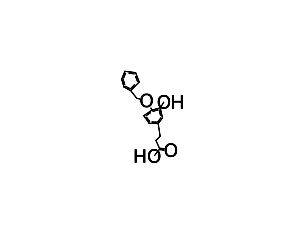 O=C(O)CCc1ccc(OCc2ccccc2)c(O)c1